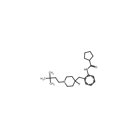 CC(C)(C)CCN1CCC(F)(Cc2ccccc2NC(=O)C2CCCC2)CC1